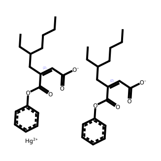 CCCCC(CC)C/C(=C/C(=O)[O-])C(=O)Oc1ccccc1.CCCCC(CC)C/C(=C/C(=O)[O-])C(=O)Oc1ccccc1.[Hg+2]